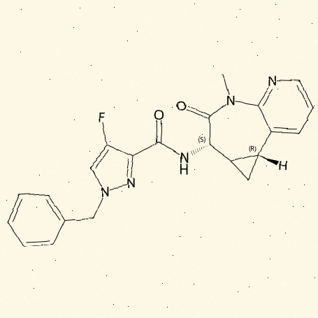 CN1C(=O)[C@@H](NC(=O)c2nn(Cc3ccccc3)cc2F)C2C[C@H]2c2cccnc21